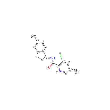 N#Cc1ccc2c(c1)CC[C@H]2NC(=O)c1ncc(C(F)(F)F)cc1Cl